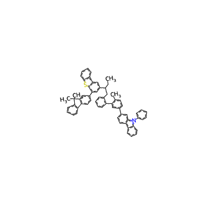 CCC(Cc1ccccc1-c1cc(-c2ccc3c4ccccc4n(-c4ccccc4)c3c2)ccc1C)c1cc(-c2ccc3c(c2)C(C)(C)c2ccccc2-3)c2sc3ccccc3c2c1